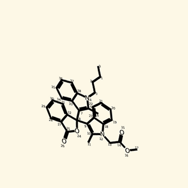 CCCCn1c(C)c(C2(c3c(C)n(CC(=O)OC)c4ccccc34)OC(=O)c3ccccc32)c2ccccc21